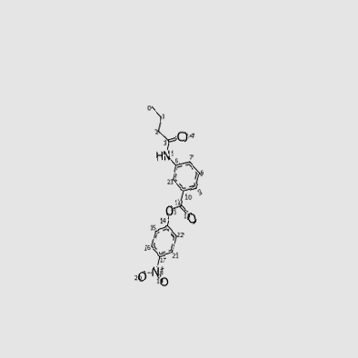 CCCC(=O)Nc1cccc(C(=O)Oc2ccc([N+](=O)[O-])cc2)c1